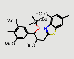 COc1cc(C(O[Si](C)(C)C(C)(C)C)C(Cc2nc3c(C(=O)O)cc(C)cc3s2)OCC(C)C)cc(OC)c1C